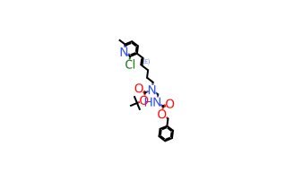 Cc1ccc(/C=C/CCCN(CNC(=O)OCc2ccccc2)C(=O)OC(C)(C)C)c(Cl)n1